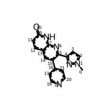 Cn1ccc(-c2nc3[nH]c(=O)ccc3cc2-c2ccncc2)n1